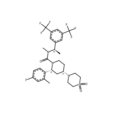 Cc1cc(F)ccc1[C@H]1C[C@@H](N2CCS(=O)(=O)CC2)CCN1C(=O)N(C)[C@H](C)c1cc(C(F)(F)F)cc(C(F)(F)F)c1